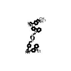 CCn1c2ccccc2c2cc(-n3nncc3-c3ccc(CCN4CCN(CCn5c6ccccc6c6cc(-n7nncc7-c7ccc8[nH]c(C)cc8c7)ccc65)CC4)cc3)ccc21